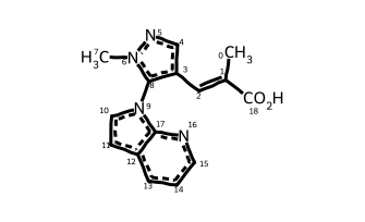 C/C(=C\c1cnn(C)c1-n1ccc2cccnc21)C(=O)O